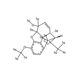 [2H]OC1([2H])C=C[C@@]2([2H])[C@@H]3N(C([2H])([2H])[2H])CC[C@@]24c2c(ccc(OC([2H])([2H])[2H])c2OC14[2H])C3([2H])[2H]